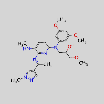 CNC1=CCC(N(CC(O)COC)c2cc(OC)cc(OC)c2)N=C1/N=C(\C)c1cnn(C)c1